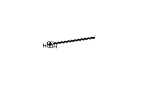 O=P(O)(O)OCCCCCCCCCCCCCCCCCCCCCCCCCI